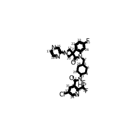 O=C(NC1CCC(CN2C(=O)C3(CN(c4cnccn4)C3)c3ccc(F)cc32)CC1)c1cc(Cl)cnc1C(F)F